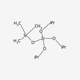 CC(C)[O][Zr]([O]C(C)C)([O]C(C)C)[O][Si](C)(C)C